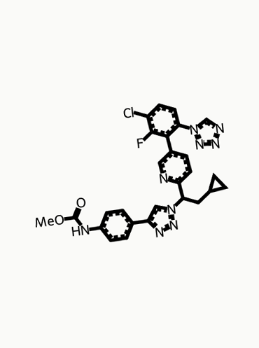 COC(=O)Nc1ccc(-c2cn(C(CC3CC3)c3ccc(-c4c(-n5cnnn5)ccc(Cl)c4F)cn3)nn2)cc1